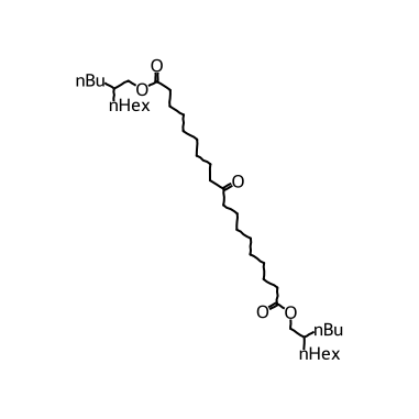 CCCCCCC(CCCC)COC(=O)CCCCCCCCC(=O)CCCCCCCCC(=O)OCC(CCCC)CCCCCC